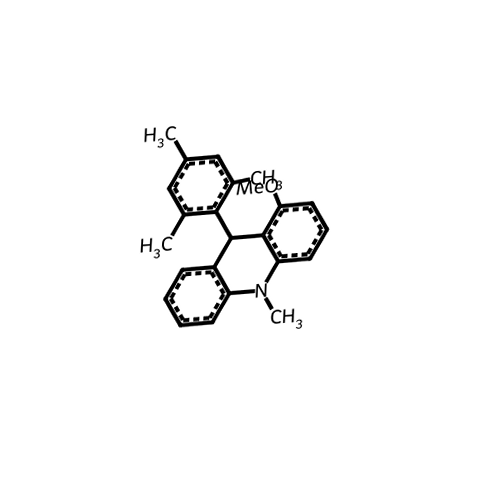 COc1cccc2c1C(c1c(C)cc(C)cc1C)c1ccccc1N2C